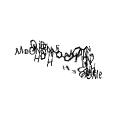 COC(=O)N[C@H](C(=O)N1CCC[C@H]1c1ncc(-c2ccc(-c3ccc4cc(-c5cnc([C@@H]6CCCN6C(=O)[C@@H](NC(=O)OC)[C@@H](C)OC)[nH]5)ccc4n3)cc2F)[nH]1)C(C)C